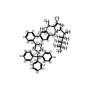 [2H]C(O)c1c(Cl)nc(C([2H])C([2H])([2H])C([2H])([2H])C([2H])([2H])[2H])n1Cc1ccc(-c2ccccc2-c2nnn(C(c3ccccc3)(c3ccccc3)c3ccccc3)n2)cc1